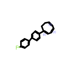 Fc1ccc(-c2ccc(/C3=C/C=C\C=C/CC3)cc2)cc1